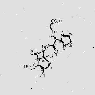 O=C(O)CON=C(C(=O)NC1C(=O)N2C(C(=O)O)=C(Cl)CS[C@@H]12)c1ncsn1